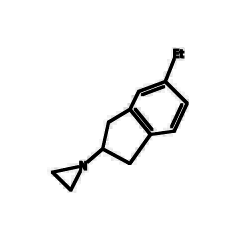 CCc1ccc2c(c1)CC(N1CC1)C2